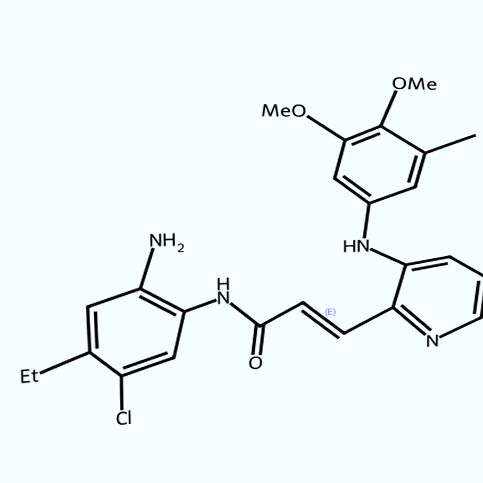 CCc1cc(N)c(NC(=O)/C=C/c2ncccc2Nc2cc(C)c(OC)c(OC)c2)cc1Cl